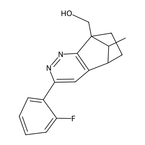 CC1C2CCC1(CO)c1nnc(-c3ccccc3F)cc12